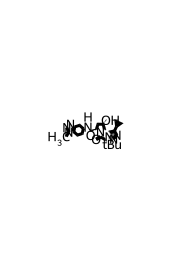 Cn1nnc2c1CCC(NC(=O)[C@H]1C[C@H](O)CN1C(=O)[C@H](n1cc(C3CC3)nn1)C(C)(C)C)C2